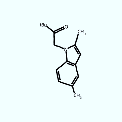 Cc1ccc2c(c1)cc(C)n2CC(=O)C(C)(C)C